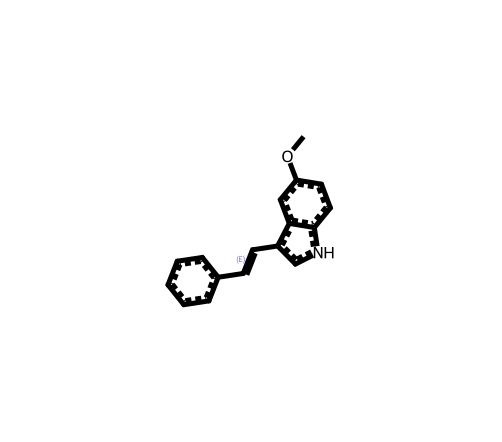 COc1ccc2[nH]cc(/C=C/c3ccccc3)c2c1